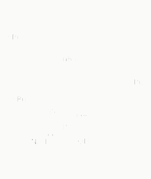 CCCCc1ccc(C(OP(=O)(O)O)c2ccc(CCCC)cc2CCCC)c(CCCC)c1.[NaH]